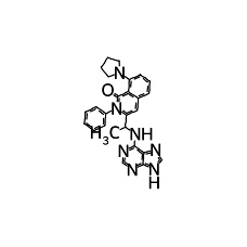 CC(Nc1ncnc2[nH]cnc12)c1cc2cccc(N3CCCC3)c2c(=O)n1-c1ccccc1